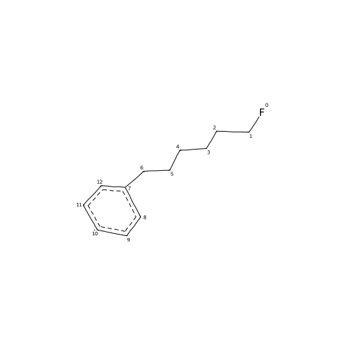 FCCCCCCc1cc[c]cc1